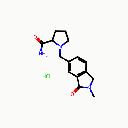 CN1Cc2ccc(CN3CCCC3C(N)=O)cc2C1=O.Cl